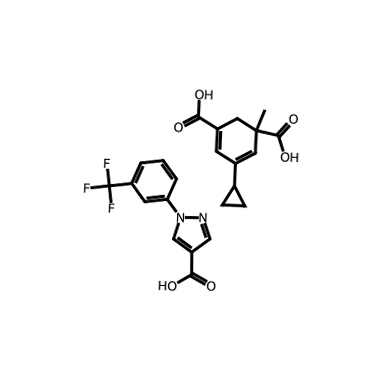 CC1(C(=O)O)C=C(C2CC2)C=C(C(=O)O)C1.O=C(O)c1cnn(-c2cccc(C(F)(F)F)c2)c1